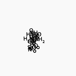 Nc1sc(C=O)nc1C(C(=O)C(=O)NNC=O)C(=O)N(N)C1C(=O)N2CC(CSc3nncs3)(C(=O)OC(c3ccccc3)c3ccccc3)CS[C@H]12